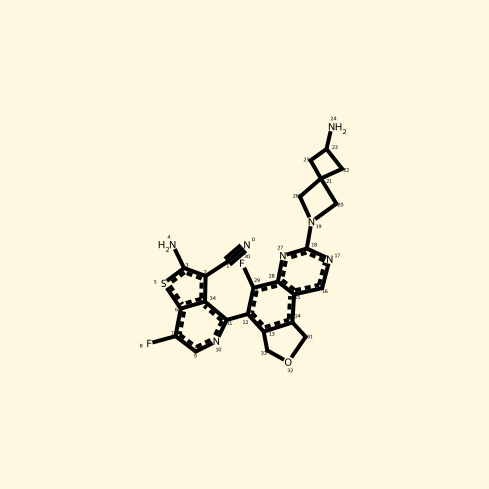 N#Cc1c(N)sc2c(F)cnc(-c3c4c(c5cnc(N6CC7(CC(N)C7)C6)nc5c3F)COC4)c12